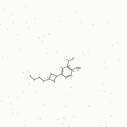 CCCCC1CC(c2ccc(O)c(CC)c2)C1